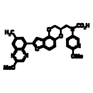 COc1ccc(N(C[C@@H]2COc3c(ccc4oc(-c5cc(C)cc6nc(OC)cnc56)cc34)O2)C(=O)O)cn1